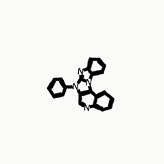 c1ccc(-n2c3cnc4ccccc4c3n3c4ccccc4nc23)cc1